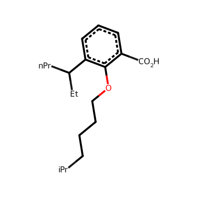 CCCC(CC)c1cccc(C(=O)O)c1OCCCCC(C)C